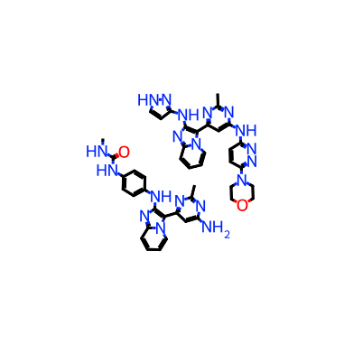 CNC(=O)Nc1ccc(Nc2nc3ccccn3c2-c2cc(N)nc(C)n2)cc1.Cc1nc(Nc2ccc(N3CCOCC3)nn2)cc(-c2c(Nc3cc[nH]n3)nc3ccccn23)n1